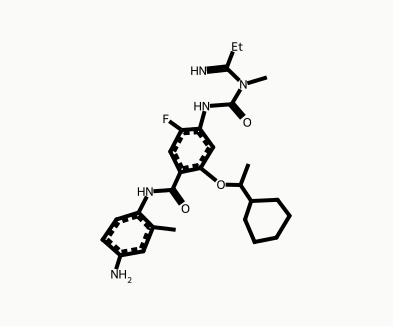 CCC(=N)N(C)C(=O)Nc1cc(OC(C)C2CCCCC2)c(C(=O)Nc2ccc(N)cc2C)cc1F